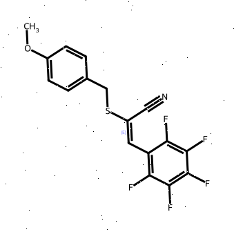 COc1ccc(CS/C(C#N)=C/c2c(F)c(F)c(F)c(F)c2F)cc1